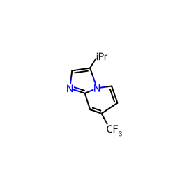 CC(C)c1cnc2cc(C(F)(F)F)ccn12